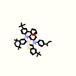 CCC(C)c1ccc(N2c3cc(C)cc4c3B(c3cc5c(cc3N4c3ccc(C(C)(C)C)cc3-c3ccccc3)C(C)(C)CCC5(C)C)c3sc4ccc(C(C)(C)C)cc4c32)cc1